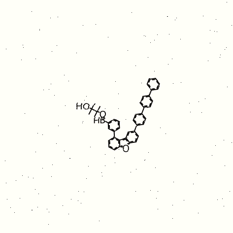 CC(C)(O)C(C)(C)OBc1cccc(-c2cccc3oc4ccc(-c5ccc(-c6ccc(-c7ccccc7)cc6)cc5)cc4c23)c1